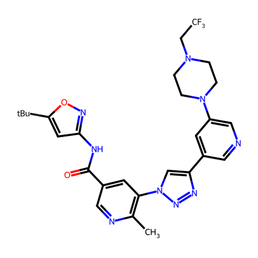 Cc1ncc(C(=O)Nc2cc(C(C)(C)C)on2)cc1-n1cc(-c2cncc(N3CCN(CC(F)(F)F)CC3)c2)nn1